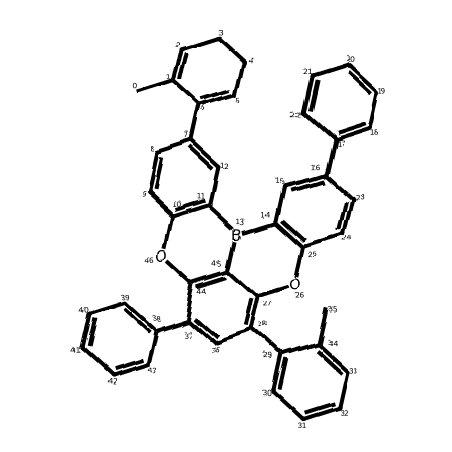 CC1=CCCC=C1c1ccc2c(c1)B1c3cc(-c4ccccc4)ccc3Oc3c(-c4ccccc4C)cc(-c4ccccc4)c(c31)O2